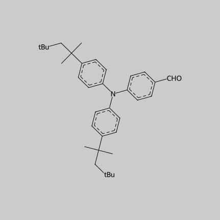 CC(C)(C)CC(C)(C)c1ccc(N(c2ccc(C=O)cc2)c2ccc(C(C)(C)CC(C)(C)C)cc2)cc1